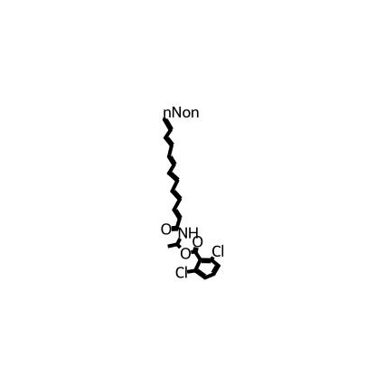 CCCCCCCCCC=CC=CC=CC=CC=CC=CC(=O)NC(C)OC(=O)c1c(Cl)cccc1Cl